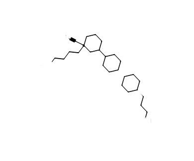 CCCCCC1(C#N)CCCC(C2CCC([C@H]3CC[C@H](CCCC)CC3)CC2)C1